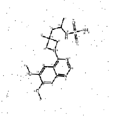 COc1cc2ncnc(N3CC(C)(CC(C)NS(N)(=O)=O)C3)c2cc1OC